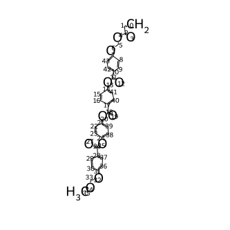 C=CC(=O)OCOc1ccc(C(=O)Oc2ccc(C(=O)Oc3ccc(OC(=O)c4ccc(OCOC)cc4)cc3)cc2)cc1